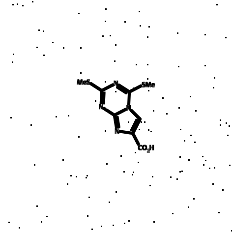 CSc1nc(SC)n2cc(C(=O)O)nc2n1